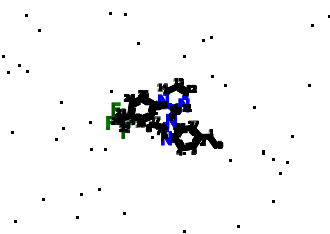 CCc1ccc2nc(C)n(C3=NC=CCN3c3ccc(C(F)(F)F)cc3)c2c1